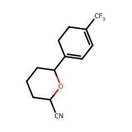 N#CC1CCCC(C2=CC=C(C(F)(F)F)CC2)O1